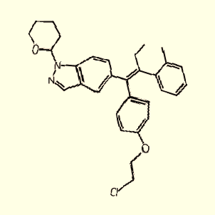 CC/C(=C(/c1ccc(OCCCl)cc1)c1ccc2c(cnn2C2CCCCO2)c1)c1ccccc1C